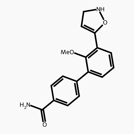 COc1c(C2=CCNO2)cccc1-c1ccc(C(N)=O)cc1